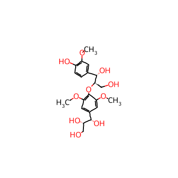 COc1cc([C@H](O)[C@@H](CO)Oc2c(OC)cc([C@H](O)[C@@H](O)CO)cc2OC)ccc1O